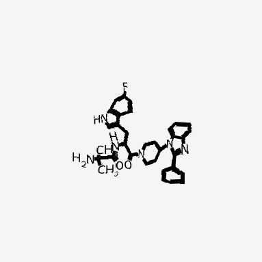 CC(C)(N)C(=O)NC(Cc1c[nH]c2cc(F)ccc12)C(=O)N1CCC(n2c(-c3ccccc3)nc3ccccc32)CC1